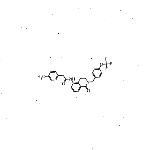 Cc1ccc(CC(=O)Nc2cccc3c(=O)n(Cc4ccc(OC(F)(F)F)cc4)ccc23)cc1